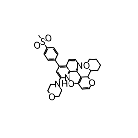 CS(=O)(=O)c1ccc(-c2cc(N3CCOCC3)nc3c(C4=C(O)C=COC4C4CCCCO4)nccc23)cc1